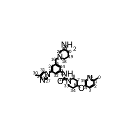 Cc1ccc(OC2CCN(C(=O)Nc3cc(CN4CCC[C@H](N)C4)cc(-n4cnc(C)c4)c3)CC2)cn1